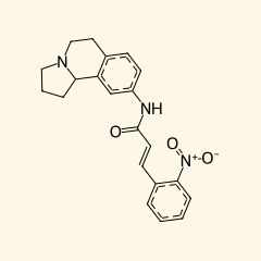 O=C(C=Cc1ccccc1[N+](=O)[O-])Nc1ccc2c(c1)C1CCCN1CC2